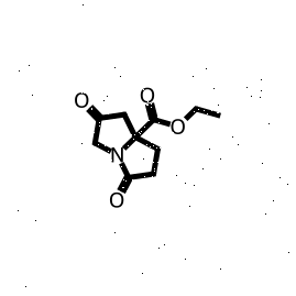 CCOC(=O)C12CCC(=O)N1CC(=O)C2